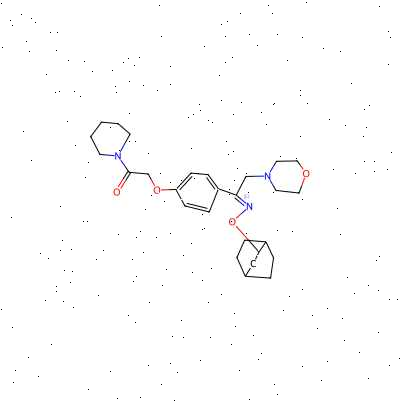 O=C(COc1ccc(/C(CN2CCOCC2)=N\OC2CC3CCC2CC3)cc1)N1CCCCC1